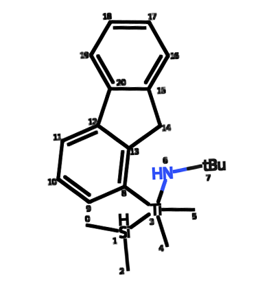 C[SiH](C)[Ti]([CH3])([CH3])([NH]C(C)(C)C)[c]1cccc2c1Cc1ccccc1-2